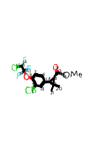 COC(=O)C1C(c2ccc(OC(F)(F)C(F)Cl)c(Cl)c2)C1(C)C